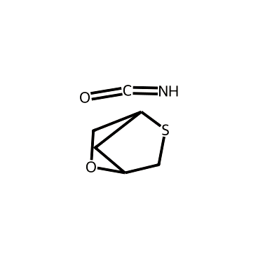 C1SC2COC1C2.N=C=O